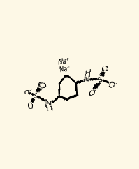 O=S(=O)([O-])NC1CCC(NS(=O)(=O)[O-])CC1.[Na+].[Na+]